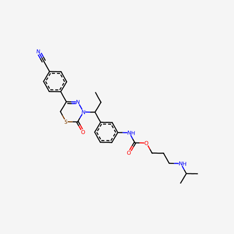 CCC(c1cccc(NC(=O)OCCCNC(C)C)c1)N1N=C(c2ccc(C#N)cc2)CSC1=O